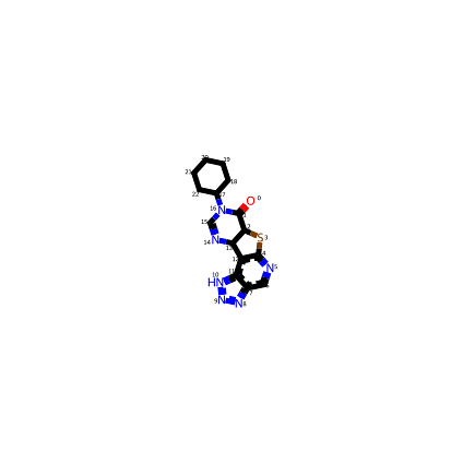 O=C1C2Sc3ncc4nn[nH]c4c3C2N=CN1C1CCCCC1